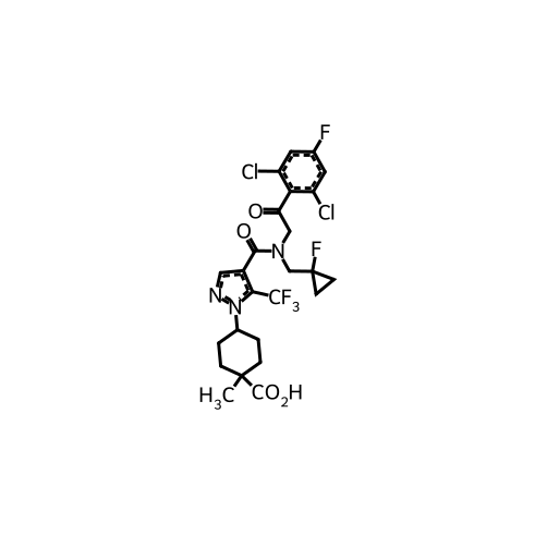 CC1(C(=O)O)CCC(n2ncc(C(=O)N(CC(=O)c3c(Cl)cc(F)cc3Cl)CC3(F)CC3)c2C(F)(F)F)CC1